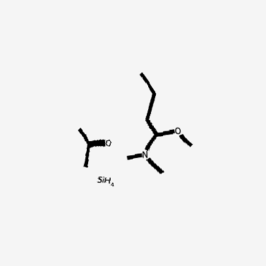 CC(C)=O.CCCC(OC)N(C)C.[SiH4]